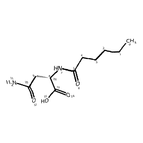 CCCCCC(=O)N[C@@H](CC(N)=O)C(=O)O